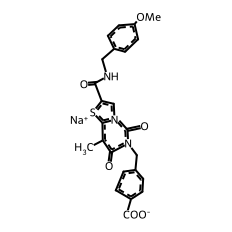 COc1ccc(CNC(=O)c2cn3c(=O)n(Cc4ccc(C(=O)[O-])cc4)c(=O)c(C)c3s2)cc1.[Na+]